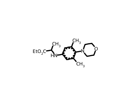 CCOC(=O)C(C)Nc1cc(C)c(N2CCOCC2)c(C)c1